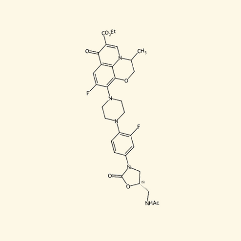 CCOC(=O)c1cn2c3c(c(N4CCN(c5ccc(N6C[C@H](CNC(C)=O)OC6=O)cc5F)CC4)c(F)cc3c1=O)OCC2C